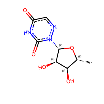 [CH2][C@H]1O[C@@H](n2ncc(=O)[nH]c2=O)[C@H](O)[C@@H]1O